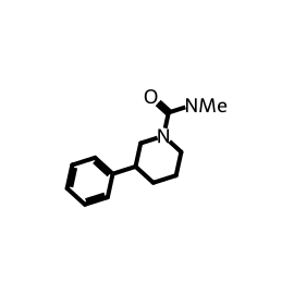 CNC(=O)N1CCCC(c2ccccc2)C1